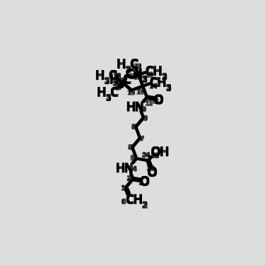 C=CC(=O)NC(CCCCNC(=O)C(C)(CC(C)(C)C)C(C)(C)C)C(=O)O